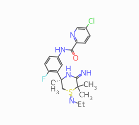 CC/N=[S@]1/C[C@@](C)(c2cc(NC(=O)c3ccc(Cl)cn3)ccc2F)NC(=N)C1(C)C